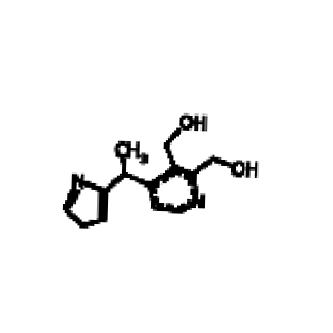 CC(C1=CCC=N1)c1ccnc(CO)c1CO